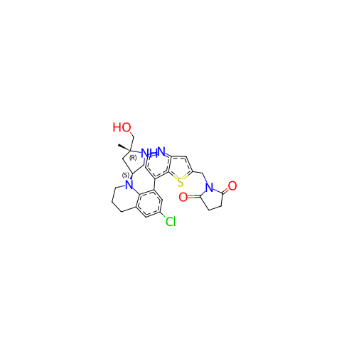 C[C@]1(CO)C[C@H](N2CCCc3cc(Cl)cc(-c4ccnc5cc(CN6C(=O)CCC6=O)sc45)c32)CN1